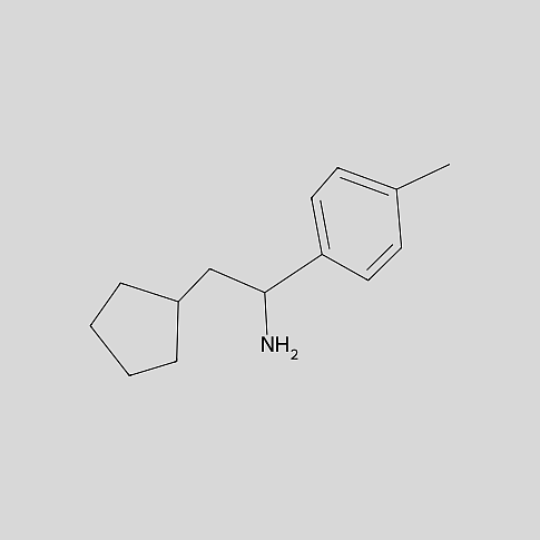 Cc1ccc(C(N)CC2CCCC2)cc1